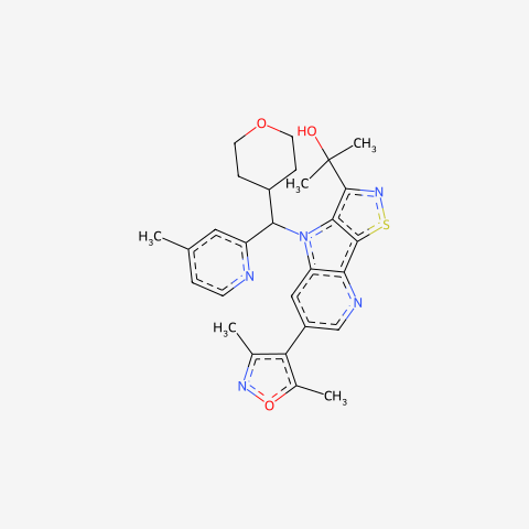 Cc1ccnc(C(C2CCOCC2)n2c3cc(-c4c(C)noc4C)cnc3c3snc(C(C)(C)O)c32)c1